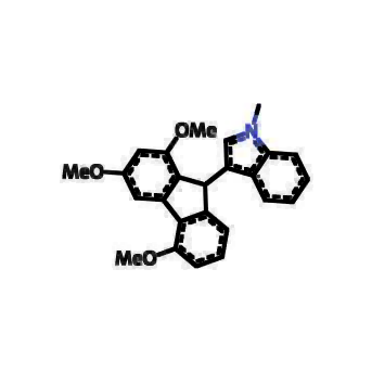 COc1cc(OC)c2c(c1)-c1c(OC)cccc1C2c1cn(C)c2ccccc12